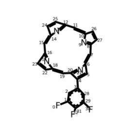 Fc1cc(C2=CC3=CC4=NC(=CC5=NC(=CC6=NC(=CC2=N3)C=C6)C=C5)C=C4)cc(F)c1F